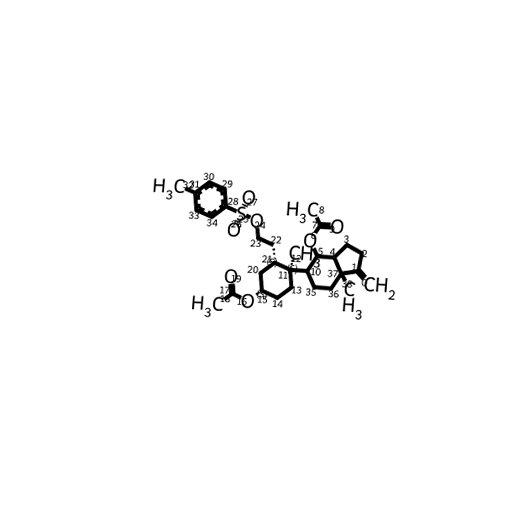 C=C1CCC2C(OC(C)=O)C([C@@]3(C)CC[C@H](OC(C)=O)C[C@@H]3CCOS(=O)(=O)c3ccc(C)cc3)CCC12C